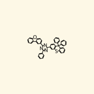 c1ccc(-c2nc(-c3ccc4c(c3)Sc3ccccc3C4(c3ccccc3)c3ccccc3)nc(-c3ccc4oc5ccccc5c4c3)n2)cc1